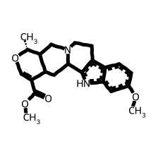 COC(=O)C1=CO[C@H](C)C2CN3CCc4c([nH]c5cc(OC)ccc45)C3CC12